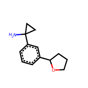 NC1(c2cccc(C3CCCO3)c2)CC1